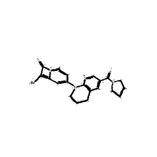 CCCCC1=C2C=C(N3CCCc4cc(C(=O)N5CCCC5)cnc43)C=CN2C1=O